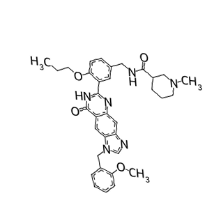 CCCOc1ccc(CNC(=O)C2CCCN(C)C2)cc1-c1nc2cc3ncn(Cc4ccccc4OC)c3cc2c(=O)[nH]1